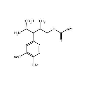 CCCC(=O)OCC(C)C(c1ccc(OC(C)=O)c(OC(C)=O)c1)[C@H](N)C(=O)O